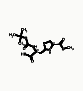 COC(=O)[C@@H]1CSC(C[C@@H](NC(=O)OC(C)(C)C)C(=O)O)N1